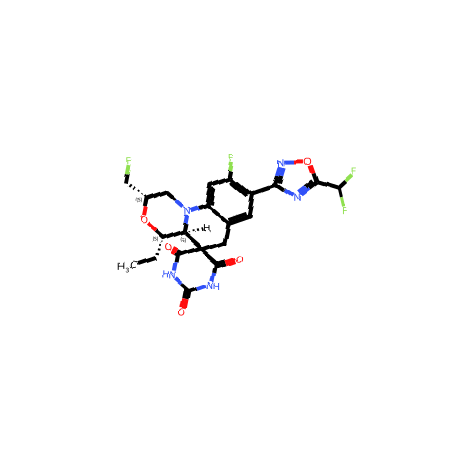 CC[C@@H]1O[C@H](CF)CN2c3cc(F)c(-c4noc(C(F)F)n4)cc3CC3(C(=O)NC(=O)NC3=O)[C@@H]12